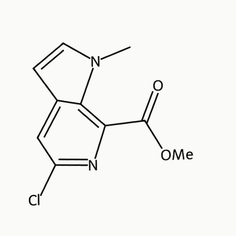 COC(=O)c1nc(Cl)cc2ccn(C)c12